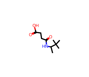 CC(NC(=O)CCC(=O)O)C(C)(C)C